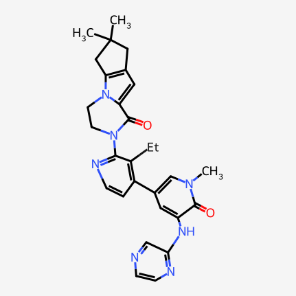 CCc1c(-c2cc(Nc3cnccn3)c(=O)n(C)c2)ccnc1N1CCn2c(cc3c2CC(C)(C)C3)C1=O